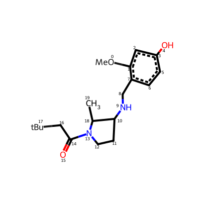 COc1cc(O)ccc1CNC1CCN(C(=O)CC(C)(C)C)C1C